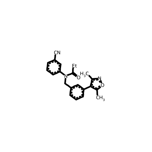 CCC(=O)N(Cc1cccc(-c2c(C)noc2C)c1)c1cccc(C#N)c1